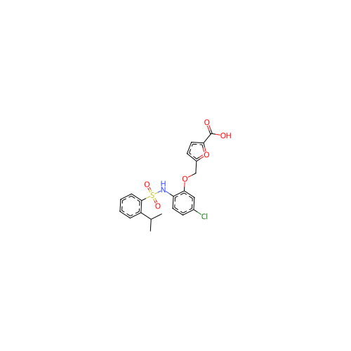 CC(C)c1ccccc1S(=O)(=O)Nc1ccc(Cl)cc1OCc1ccc(C(=O)O)o1